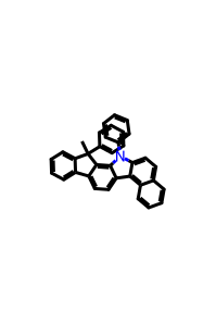 CC1(c2ccccc2)c2ccccc2-c2ccc3c4c5ccccc5ccc4n(-c4ccccc4)c3c21